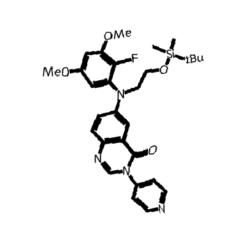 COc1cc(OC)c(F)c(N(CCO[Si](C)(C)C(C)(C)C)c2ccc3ncn(-c4ccncc4)c(=O)c3c2)c1